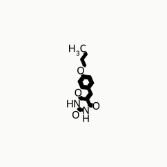 CCCCOc1ccc(C=C2C(=O)NC(=O)NC2=O)cc1